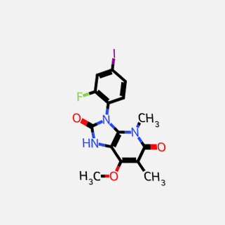 COc1c(C)c(=O)n(C)c2c1[nH]c(=O)n2-c1ccc(I)cc1F